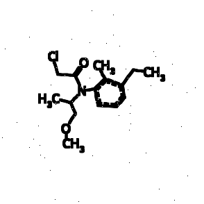 CCc1cccc(N(C(=O)CCl)C(C)COC)c1C